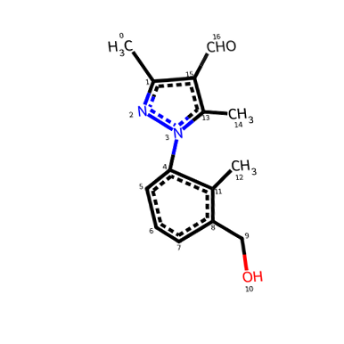 Cc1nn(-c2cccc(CO)c2C)c(C)c1C=O